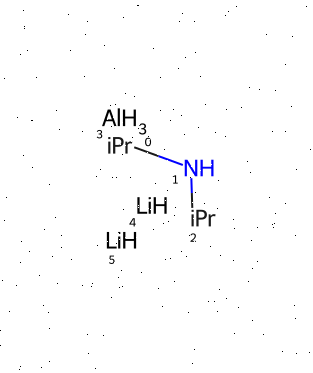 CC(C)NC(C)C.[AlH3].[LiH].[LiH]